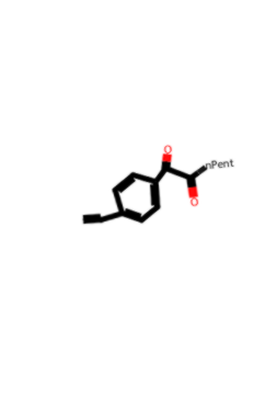 C=Cc1ccc(C(=O)C(=O)CCCCC)cc1